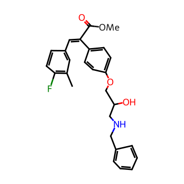 COC(=O)C(=Cc1ccc(F)c(C)c1)c1ccc(OCC(O)CNCc2ccccc2)cc1